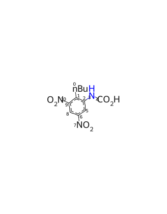 CCCCc1c(NC(=O)O)cc([N+](=O)[O-])cc1[N+](=O)[O-]